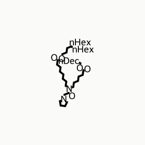 CCCCCCCCCCCOC(=O)CCCCCN(CCCCCCCC(=O)OCCCC(CCCCCC)CCCCCC)C(=O)CN1CCCC1